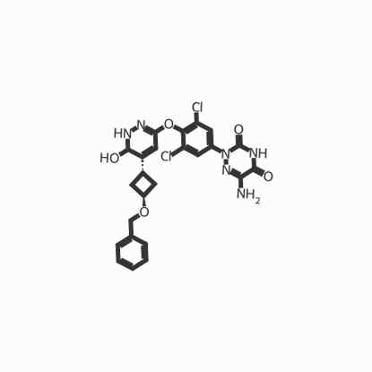 Nc1nn(-c2cc(Cl)c(OC3=NNC(O)C([C@H]4C[C@H](OCc5ccccc5)C4)=C3)c(Cl)c2)c(=O)[nH]c1=O